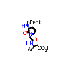 CCCCCNc1cccn(CC(=O)NC(CC(=O)O)C(C)=O)c1=O